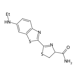 CCNc1ccc2nc(C3=NC(C(N)=O)CS3)sc2c1